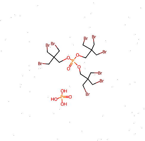 O=P(O)(O)O.O=P(OCC(CBr)(CBr)CBr)(OCC(CBr)(CBr)CBr)OCC(CBr)(CBr)CBr